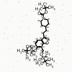 CC(C)(C)OC(=O)N1CCC(CCc2noc3c(CO[Si](C)(C)C(C)(C)C)c(O[Si](C)(C)C(C)(C)C)ccc23)CC1